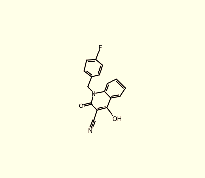 N#Cc1c(O)c2ccccc2n(Cc2ccc(F)cc2)c1=O